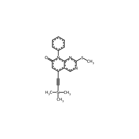 CSc1ncc2c(C#C[Si](C)(C)C)cc(=O)n(-c3ccccc3)c2n1